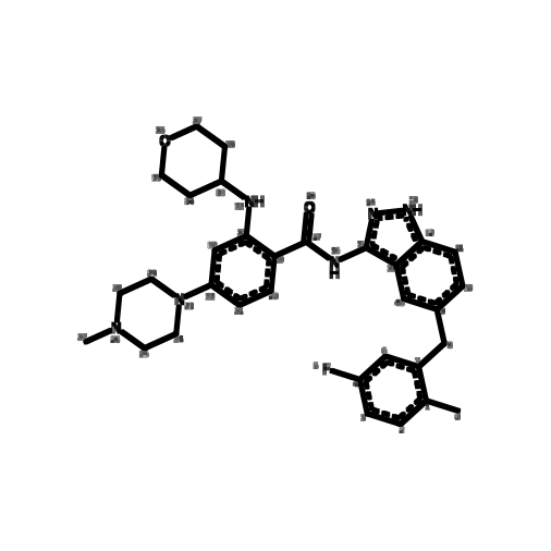 Cc1ccc(F)cc1Cc1ccc2[nH]nc(NC(=O)c3ccc(N4CCN(C)CC4)cc3NC3CCOCC3)c2c1